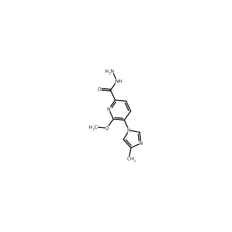 COc1nc(C(=O)NN)ccc1-n1cnc(C)c1